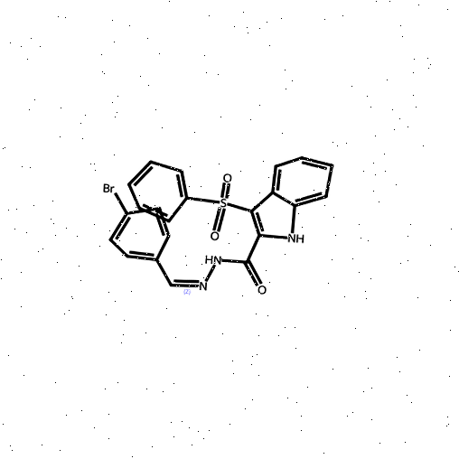 O=C(N/N=C\c1ccc(Br)cc1)c1[nH]c2ccccc2c1S(=O)(=O)c1ccccc1